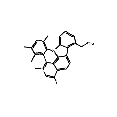 Cc1cc(C)c2c(c1C)c1c3c(ccc4c5c(CC(C)(C)C)cccc5n2c43)c(F)c[n+]1C